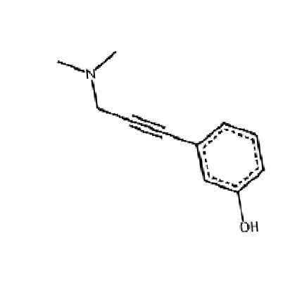 CN(C)CC#Cc1cccc(O)c1